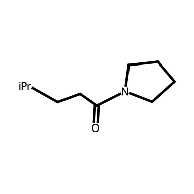 CC(C)CCC(=O)N1CCCC1